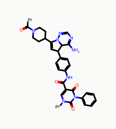 CC(C)C(=O)N1CCC(C2=CC(c3ccc(NC(=O)c4cn(C(C)C)c(=O)n(-c5ccccc5)c4=O)cc3)C3C(N)=NC=NN23)CC1